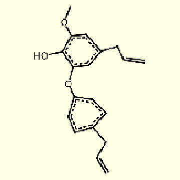 C=CCc1ccc(Oc2cc(CC=C)cc(OC)c2O)cc1